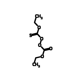 CCOC(=O)OOC(=S)OCC